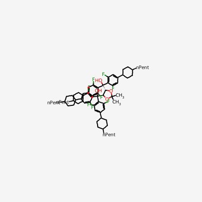 CCCCCC1CCC(c2cc(F)c(C(O)(c3c(F)cc(C4CCC(CCCCC)CC4)cc3F)[C@@H]3OC(C)(C)O[C@H]3C(O)(c3c(F)cc(C4CCC(CCCCC)CC4)cc3F)c3c(F)cc(C4CCC(CCCCC)CC4)cc3F)c(F)c2)CC1